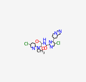 CN1C(=O)C(NC(=O)c2ncc(Cl)c(-c3ccn4cncc4c3)n2)COc2cc(Cl)cnc21